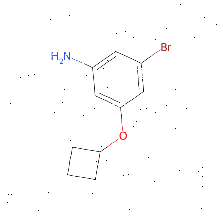 Nc1cc(Br)cc(OC2CCC2)c1